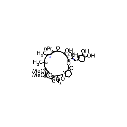 CCC[C@@H]1/C=C(\C)C[C@H](C)C[C@H](OC)[C@H]2O[C@@](O)(C(=O)C(=O)N3CCCCC3C(=O)O[C@H](/C(C)=C/[C@@H]3CCC(O)[C@H](O)C3)[C@H](C)[C@@H](O)CC1=O)[C@H](C)C[C@@H]2OC